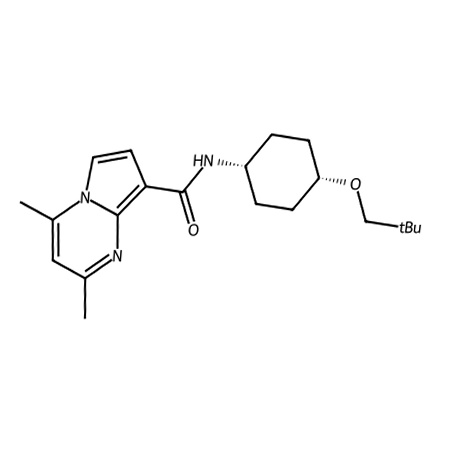 Cc1cc(C)n2ccc(C(=O)N[C@H]3CC[C@@H](OCC(C)(C)C)CC3)c2n1